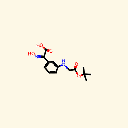 CC(C)(C)OC(=O)CNc1cccc(C(=NO)C(=O)O)c1